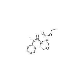 CCOC(=O)[C@@H]1COCC[C@H]1N[C@@H](C)c1ccccc1